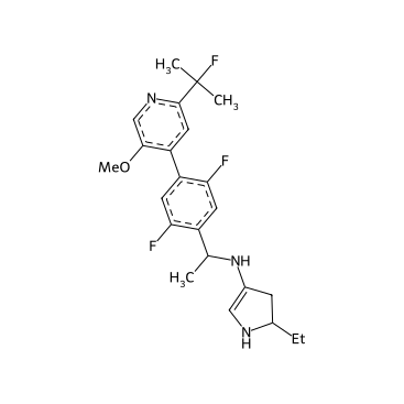 CCC1CC(NC(C)c2cc(F)c(-c3cc(C(C)(C)F)ncc3OC)cc2F)=CN1